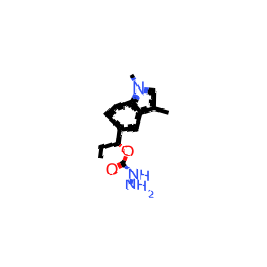 CCC(OC(=O)NN)c1ccc2c(c1)c(C)cn2C